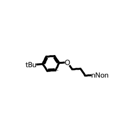 CCCCCCCCCCCCOc1[c]cc(C(C)(C)C)cc1